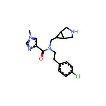 Cn1cnc(C(=O)N(CCc2ccc(Cl)cc2)CC2C3CNCC32)c1